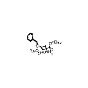 CC(C)(C)OC(=O)C1(N)CC(OCc2ccccc2)C1.CCOC=O